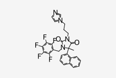 CC1(c2cccc3ccccc23)C(=O)N(CCCn2ccnc2)C(=O)N1Cc1c(F)c(F)c(F)c(F)c1F